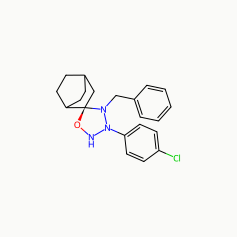 Clc1ccc(N2NO[C@@]3(CC4CCC3CC4)N2Cc2ccccc2)cc1